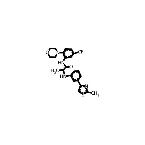 Cc1nc(-c2cccc(NC(C)C(=O)Nc3cc(C(F)(F)F)ccc3N3CCOCC3)c2)cs1